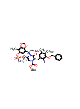 COc1c(C)cc(C[C@H]2C(=O)N([C@@H](COC(C)=O)c3cc(OS(C)(=O)=O)c(C)c4c3OCO4)C(C)=CN2C(=O)OC(C)(C)C)c(I)c1OCc1ccccc1